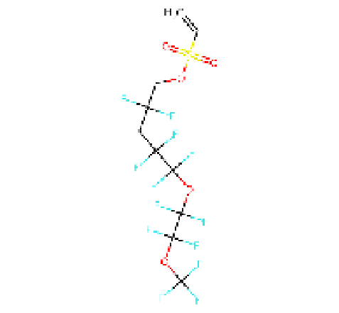 C=CS(=O)(=O)OCC(F)(F)CC(F)(F)C(F)(F)OC(F)(F)C(F)(F)OC(F)(F)F